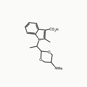 CNC1COC(C(C)n2c(C)c(C(=O)O)c3ccccc32)OC1